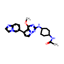 COc1nc(NC2CCC(NC(C)=O)CC2)nn2ccc(-c3ccc4nccn4c3)c12